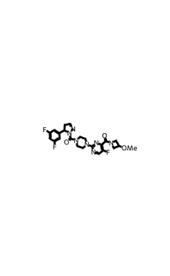 COC1CN(C(=O)c2nc(N3CCN(C(=O)N4N=CCC4c4cc(F)cc(F)c4)CC3)ncc2F)C1